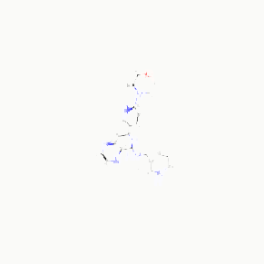 F[C@@]1(CNc2nc(-c3ccc(N4CCOCC4)nc3)cc3nccnc23)CCCNC1